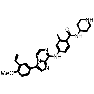 C=Cc1cc(-c2cnc3c(Nc4ccc(C(=O)NC5CCNCC5)c(C)c4)nccn23)ccc1OC